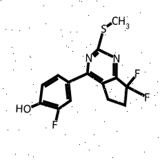 CSc1nc(-c2ccc(O)c(F)c2)c2c(n1)C(F)(F)CC2